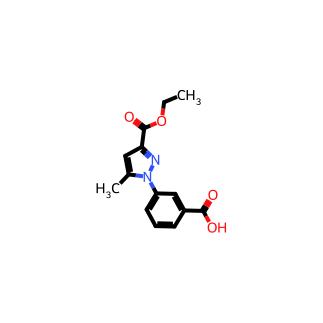 CCOC(=O)c1cc(C)n(-c2cccc(C(=O)O)c2)n1